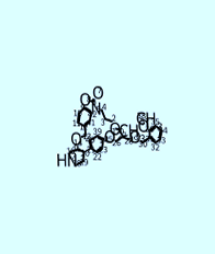 COCCCn1c(=O)oc2ccc(CO[C@H]3CNCC[C@@H]3c3ccc(OCCCOCc4ccccc4OC)cc3)cc21